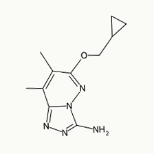 Cc1c(OCC2CC2)nn2c(N)nnc2c1C